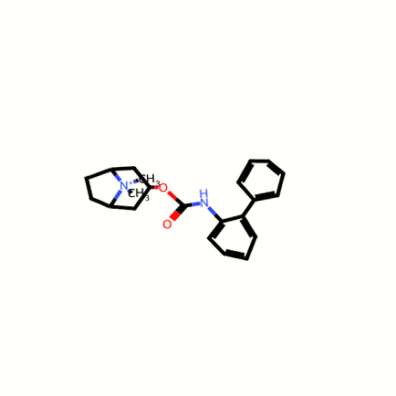 C[N+]1(C)C2CCC1CC(OC(=O)Nc1ccccc1-c1ccccc1)C2